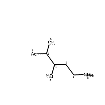 CNCCC(O)C(O)C(C)=O